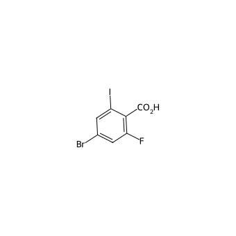 O=C(O)c1c(F)cc(Br)cc1I